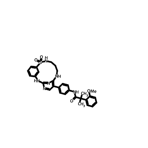 COc1ccccc1C(C)(C)C(=O)Nc1ccc(-c2cnc3nc2NCCCNS(=O)(=O)c2cccc(c2)N3)cc1